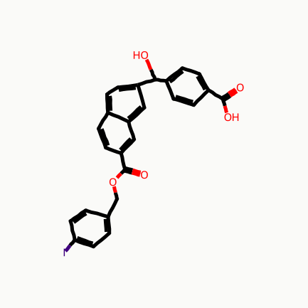 O=C(O)c1ccc(C(O)c2ccc3ccc(C(=O)OCc4ccc(I)cc4)cc3c2)cc1